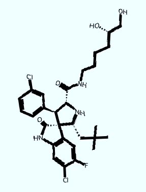 CC(C)(C)C[C@H]1N[C@@H](C(=O)NCCCC[C@H](O)CO)[C@H](c2cccc(Cl)c2)[C@@]12C(=O)Nc1cc(Cl)c(F)cc12